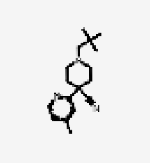 Cc1ccnc(C2(C#N)CCN(CC(C)(C)C)CC2)c1